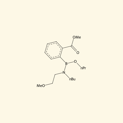 CCCCN(CCOC)B(OCCC)c1ccccc1C(=O)OC